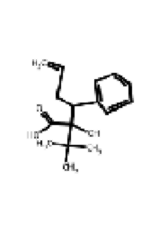 C=CCC(c1ccccc1)C(O)(C(=O)O)C(C)(C)C